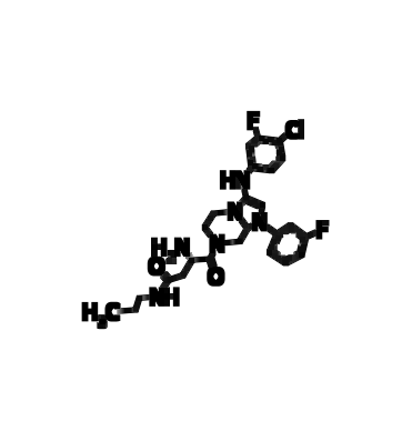 CCCNC(=O)C[C@H](N)C(=O)N1CCN2C(Nc3ccc(Cl)c(F)c3)=CN(c3cccc(F)c3)C2C1